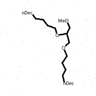 CCCCCCCCCCCCCCOCC(COC)OCCCCCCCCCCCCCC